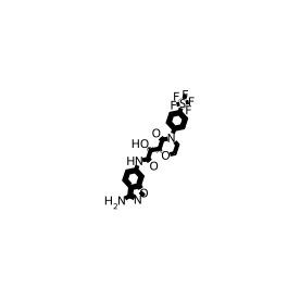 Nc1noc2cc(NC(=O)[C@H](O)[C@H]3OCCN(c4ccc(S(F)(F)(F)(F)F)cc4)C3=O)ccc12